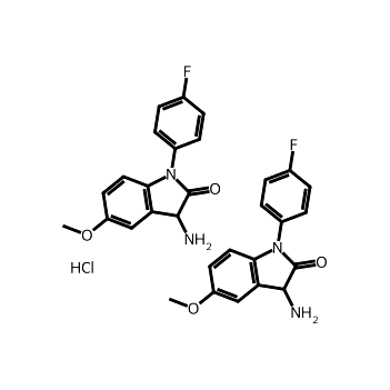 COc1ccc2c(c1)C(N)C(=O)N2c1ccc(F)cc1.COc1ccc2c(c1)C(N)C(=O)N2c1ccc(F)cc1.Cl